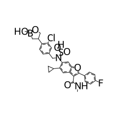 CNC(=O)c1c(-c2ccc(F)cc2)oc2cc(N(Cc3ccc(C4COB(O)C4)c(Cl)c3)[SH](=O)=O)c(C3CC3)cc12